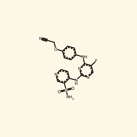 N#CCOc1ccc(Nc2nc(Nc3ccncc3S(N)(=O)=O)ncc2F)cc1